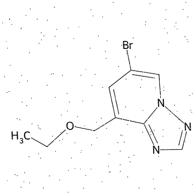 CCOCc1cc(Br)cn2ncnc12